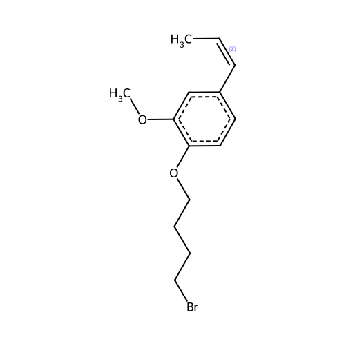 C/C=C\c1ccc(OCCCCBr)c(OC)c1